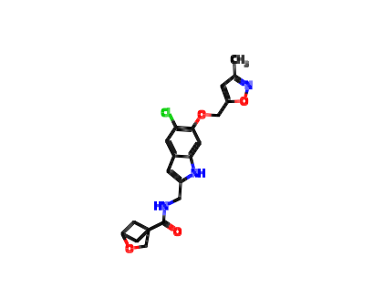 Cc1cc(COc2cc3[nH]c(CNC(=O)C45COC(C4)C5)cc3cc2Cl)on1